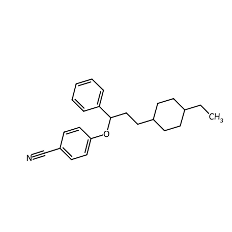 CCC1CCC(CCC(Oc2ccc(C#N)cc2)c2ccccc2)CC1